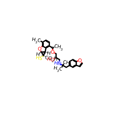 Cc1ccc([C@@H](C)OC[C@H](O)CNC(C)(C)Cc2ccc3occc3c2)c2c1O[C@H]1[C@@H]2[C@]1(S)C(=O)O